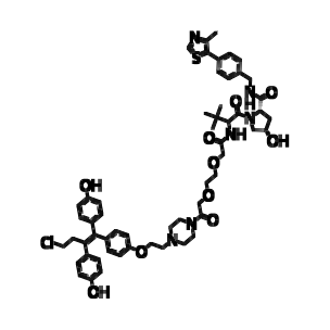 Cc1ncsc1-c1ccc(CNC(=O)[C@@H]2C[C@@H](O)CN2C(=O)C(NC(=O)COCCOCC(=O)N2CCN(CCOc3ccc(C(=C(CCCl)c4ccc(O)cc4)c4ccc(O)cc4)cc3)CC2)C(C)(C)C)cc1